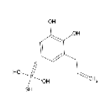 C=CCc1cccc(O)c1O.OP(O)(=S)S